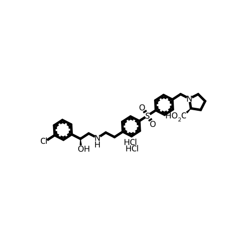 Cl.Cl.O=C(O)[C@@H]1CCCN1Cc1ccc(S(=O)(=O)c2ccc(CCNC[C@@H](O)c3cccc(Cl)c3)cc2)cc1